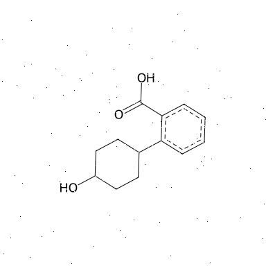 O=C(O)c1ccccc1C1CCC(O)CC1